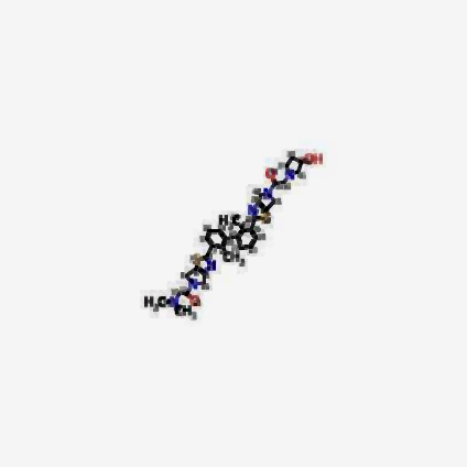 Cc1c(-c2nc3c(s2)CN(C(=O)CN(C)C)C3)cccc1-c1cccc(-c2nc3c(s2)CN(C(=O)CN2CCC(O)C2)C3)c1C